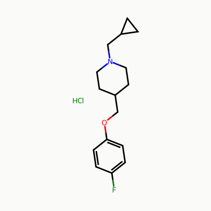 Cl.Fc1ccc(OCC2CCN(CC3CC3)CC2)cc1